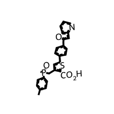 Cc1ccc(P(C)(=O)Cc2cc(-c3ccc(-c4cc5ncccc5o4)cc3)sc2C(=O)O)cc1